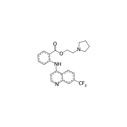 O=C(OCCN1CCCC1)c1ccccc1Nc1ccnc2cc(C(F)(F)F)ccc12